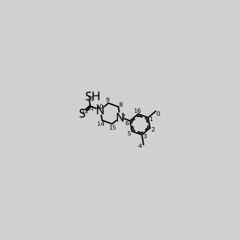 Cc1cc(C)cc(N2CCN(C(=S)S)CC2)c1